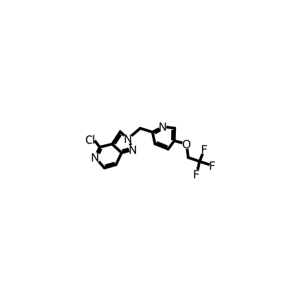 FC(F)(F)COc1ccc(Cn2cc3c(Cl)nccc3n2)nc1